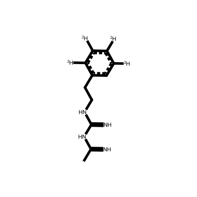 [2H]c1cc(CCNC(=N)NC(C)=N)c([2H])c([2H])c1[2H]